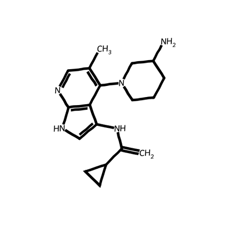 C=C(Nc1c[nH]c2ncc(C)c(N3CCCC(N)C3)c12)C1CC1